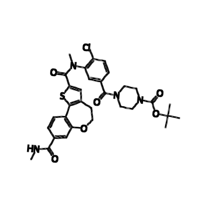 CNC(=O)c1ccc2c(c1)OCCc1cc(C(=O)N(C)c3cc(C(=O)N4CCN(C(=O)OC(C)(C)C)CC4)ccc3Cl)sc1-2